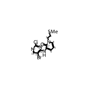 CSCCn1cccc(Nc2nc(Cl)ncc2Br)c1=O